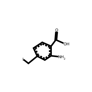 Nc1cc(CI)ccc1C(=O)O